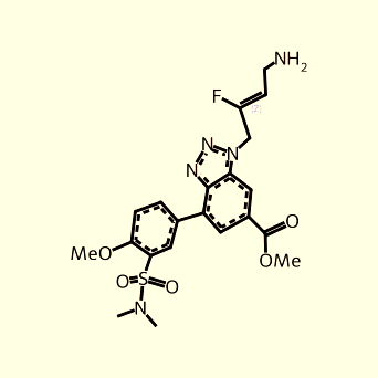 COC(=O)c1cc(-c2ccc(OC)c(S(=O)(=O)N(C)C)c2)c2nnn(C/C(F)=C/CN)c2c1